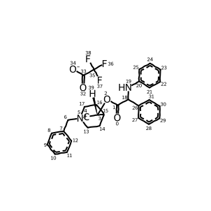 O=C(O[C@H]1C[N+]2(Cc3ccccc3)CCC1CC2)C(Nc1ccccc1)c1ccccc1.O=C([O-])C(F)(F)F